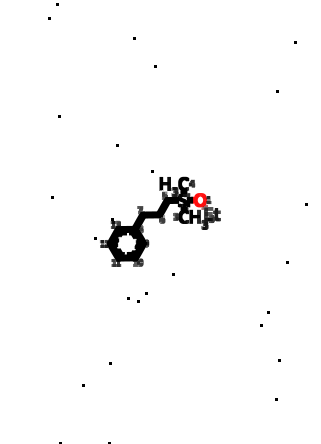 CCO[Si](C)(C)CCCc1ccccc1